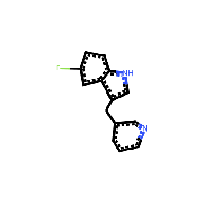 Fc1ccc2[nH]cc(Cc3cccnc3)c2c1